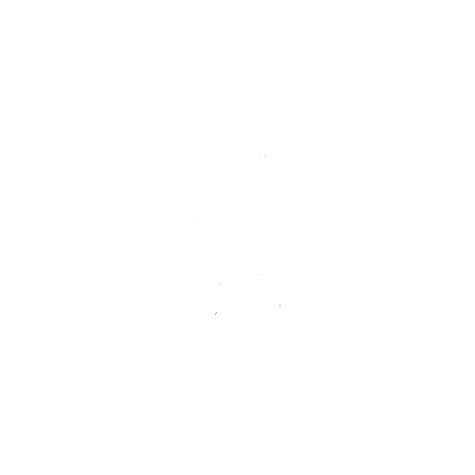 CC(=O)NCCc1ccc(O[C@@H]2OC(C)(C)[C@H](OC(F)F)[C@@H](O)[C@H]2O)cc1-c1cccc(F)c1